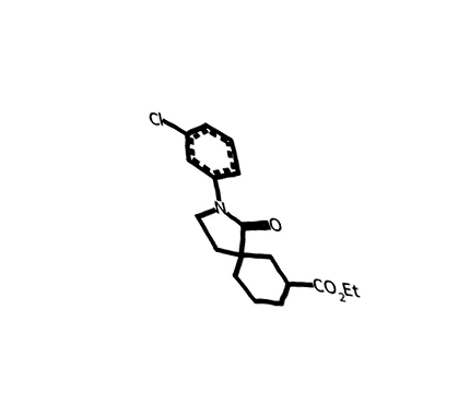 CCOC(=O)C1CCCC2(CCN(c3cccc(Cl)c3)C2=O)C1